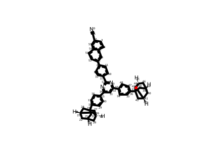 N#Cc1ccc2cc(-c3ccc(-c4nc(-c5ccc(C67C[C@H]8C[C@H](C6)C[C@@H](C7)C8)cc5)cc(-c5ccc(C67C[C@H]8C[C@H](C6)C[C@@H](C7)C8)cc5)n4)cc3)ccc2c1